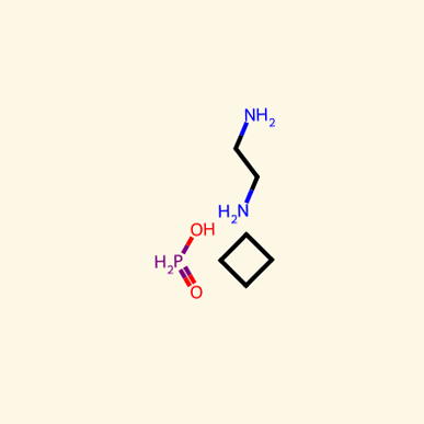 C1CCC1.NCCN.O=[PH2]O